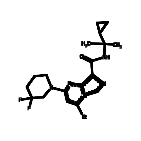 CCc1cc(N2CCCC(F)(F)C2)nc2c(C(=O)NC(C)(C)C3CC3)ncn12